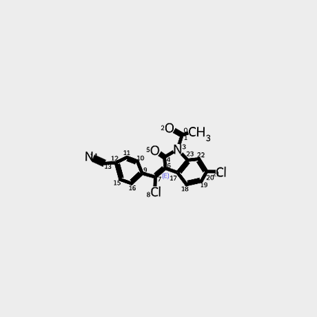 CC(=O)N1C(=O)/C(=C(/Cl)c2ccc(C#N)cc2)c2ccc(Cl)cc21